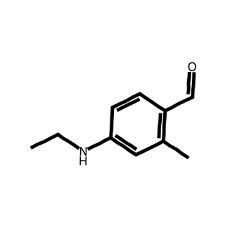 CCNc1ccc(C=O)c(C)c1